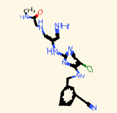 CNC(=O)CN/C=C(\C=N)Nc1ncc(Cl)c(NCc2cccc(C#N)c2)n1